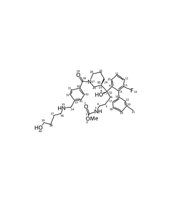 COC(=O)NCCC[C@@](O)(c1cccc(F)c1-c1cccc(C)c1)[C@@H]1CCCN(C(=O)c2ccc(CNCCCCO)cc2)C1